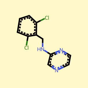 Clc1cccc(Cl)c1CNc1cnccn1